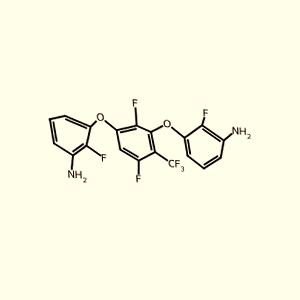 Nc1cccc(Oc2cc(F)c(C(F)(F)F)c(Oc3cccc(N)c3F)c2F)c1F